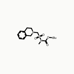 CN(C(=O)OC(C)(C)C)S(=O)(=O)CN1CCc2ccccc2C1